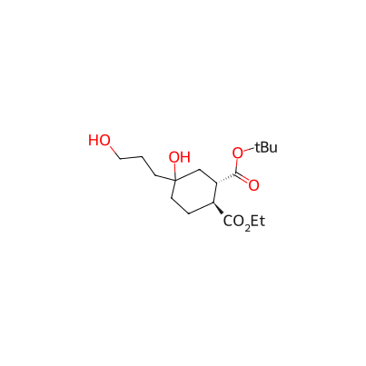 CCOC(=O)[C@H]1CCC(O)(CCCO)C[C@@H]1C(=O)OC(C)(C)C